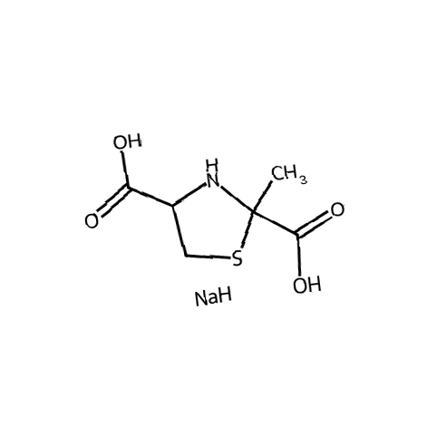 CC1(C(=O)O)NC(C(=O)O)CS1.[NaH]